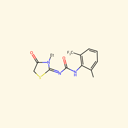 CCN1C(=O)CSC1=NC(=O)Nc1c(C)cccc1C(F)(F)F